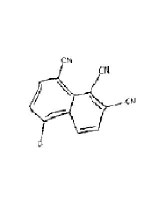 N#Cc1ccc2c([O])ccc(C#N)c2c1C#N